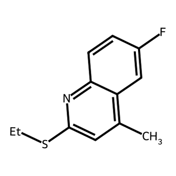 CCSc1cc(C)c2cc(F)ccc2n1